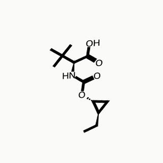 CC[C@@H]1C[C@H]1OC(=O)N[C@H](C(=O)O)C(C)(C)C